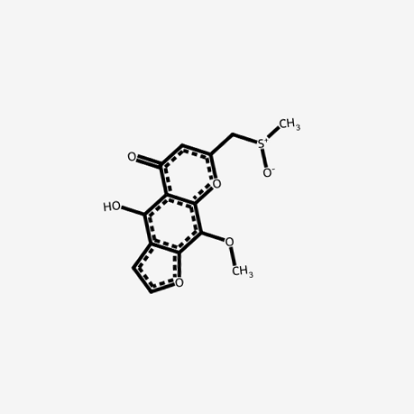 COc1c2occc2c(O)c2c(=O)cc(C[S+](C)[O-])oc12